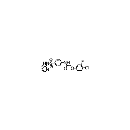 O=C(COc1ccc(Cl)c(F)c1)Nc1ccc(S(=O)(=O)Nc2nccs2)cc1